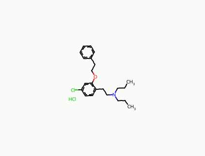 CCCN(CCC)CCc1ccc(Cl)cc1OCCc1ccccc1.Cl